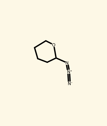 [N-]=[N+]=NC1CCCCO1